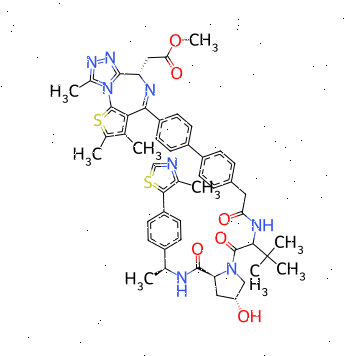 COC(=O)C[C@@H]1N=C(c2ccc(-c3ccc(CC(=O)NC(C(=O)N4C[C@H](O)C[C@H]4C(=O)N[C@@H](C)c4ccc(-c5scnc5C)cc4)C(C)(C)C)cc3)cc2)c2c(sc(C)c2C)-n2c(C)nnc21